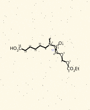 CCOC(=O)OCO/N=[N+](\[O-])N(C)CCCCCC(=O)O